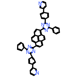 c1ccc(-c2nc(-c3ccc(-c4cccnc4)cc3)nc(-c3ccc4ccc5c(-c6nc(-c7ccccc7)nc(-c7ccc(-c8cccnc8)cc7)n6)ccc6ccc3c4c65)n2)cc1